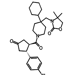 CC1(C)COC(=O)N1CC1(C2CCCCC2)CCN(C(=O)[C@@H]2CC(=O)C[C@H]2c2ccc(Cl)cc2)CC1